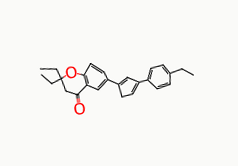 CCc1ccc(C2=CCC(c3ccc4c(c3)C(=O)CC(CC)(CC)O4)=C2)cc1